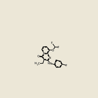 CCc1c(Nc2ccc(F)cc2)nc2c(OC(F)F)cccn2c1=O